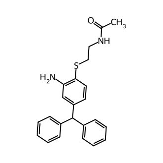 CC(=O)NCCSc1ccc(C(c2ccccc2)c2ccccc2)cc1N